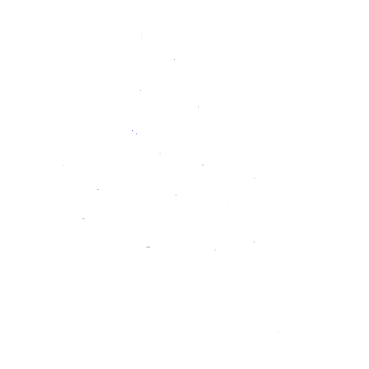 O=C(O)c1cncc(C2=C(c3cc(C(F)(F)F)ccc3OCc3ccc(F)cc3F)CCC2)c1